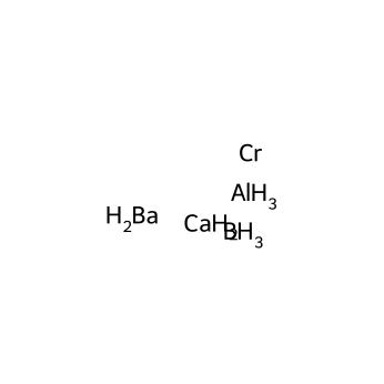 B.[AlH3].[BaH2].[CaH2].[Cr]